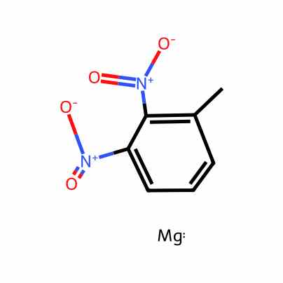 Cc1cccc([N+](=O)[O-])c1[N+](=O)[O-].[Mg]